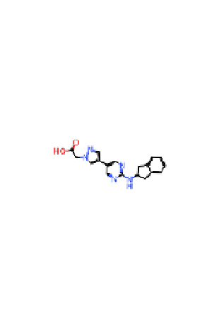 O=C(O)Cn1cc(-c2cnc(NC3Cc4ccccc4C3)nc2)cn1